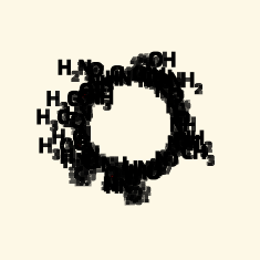 CCCC[C@H]1C(=O)N(C)[C@@H](CCCC)C(=O)N[C@@H](CC(C)C)C(=O)N[C@H](C(=O)NCC(N)=O)CSCC(=O)N[C@@H](Cc2ccc(O)cc2)C(=O)N(C)[C@@H](C)C(=O)N[C@@H](CC(N)=O)C(=O)N2CCC[C@H]2C(=O)N[C@@H](CN)C(=O)N[C@@H](CC(C)C)C(=O)N2CCC[C@H]2C(=O)N[C@@H](Cc2c[nH]c3ccccc23)C(=O)N[C@@H](CCN)C(=O)N[C@@H](Cc2c[nH]c3ccccc23)C(=O)N1C